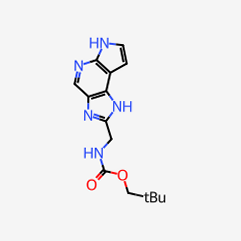 CC(C)(C)COC(=O)NCc1nc2cnc3[nH]ccc3c2[nH]1